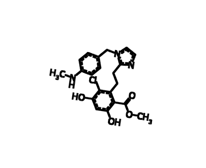 CNc1ccc(Cn2ccnc2CCc2c(Cl)c(O)cc(O)c2C(=O)OC)cc1